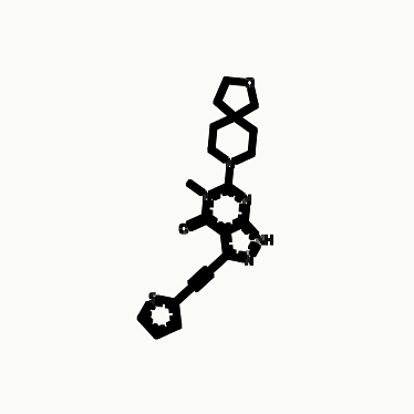 Cn1c(N2CCC3(CCOC3)CC2)nc2[nH]nc(C#Cc3cccs3)c2c1=O